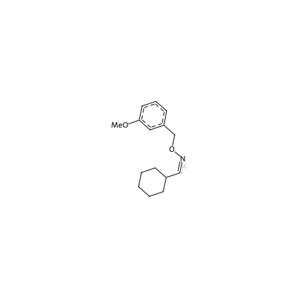 COc1cccc(CO/N=[C]\C2CCCCC2)c1